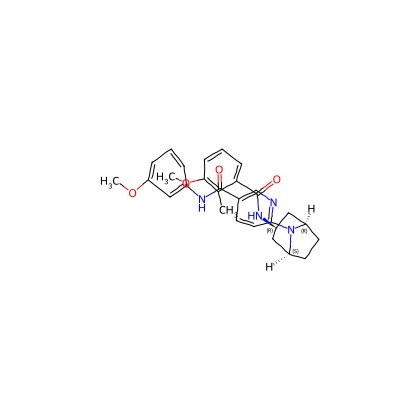 COc1cccc(NC(=O)c2ccc(N3[C@@H]4CC[C@H]3C[C@@H](NC(=O)c3cccc(OC)c3C)C4)nc2)c1